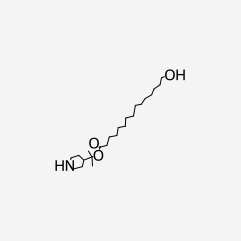 CC(C)(OC(=O)CCCCCCCCCCCCCCO)C1CCNCC1